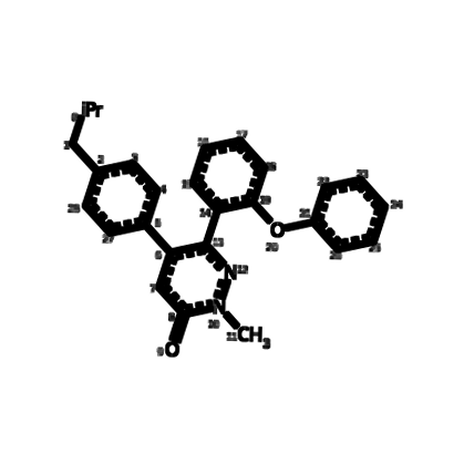 CC(C)Cc1ccc(-c2cc(=O)n(C)nc2-c2ccccc2Oc2ccccc2)cc1